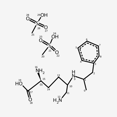 CC(Cc1ccccc1)NC(CN)CC[C@H](N)C(=O)O.CS(=O)(=O)O.CS(=O)(=O)O